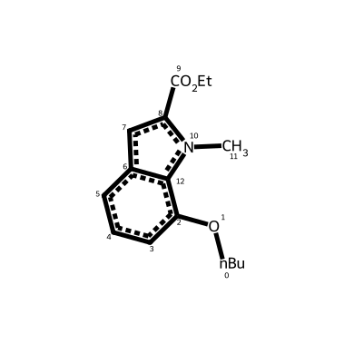 CCCCOc1cccc2cc(C(=O)OCC)n(C)c12